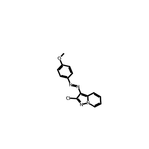 COc1ccc(/N=N/c2c(Cl)nn3ccccc23)cc1